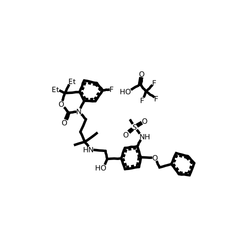 CCC1(CC)OC(=O)N(CCC(C)(C)NCC(O)c2ccc(OCc3ccccc3)c(NS(C)(=O)=O)c2)c2cc(F)ccc21.O=C(O)C(F)(F)F